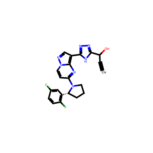 C#CC(O)c1nnc(-c2cnn3ccc(N4CCC[C@@H]4c4cc(F)ccc4F)nc23)[nH]1